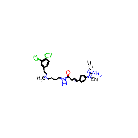 CN=C(N)N(C#N)c1ccc(/C=C/CC(=O)NCCCCN(C)CCc2ccc(Cl)c(Cl)c2)cc1